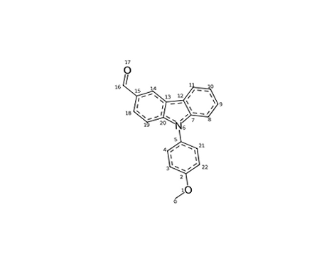 COc1ccc(-n2c3ccccc3c3cc(C=O)ccc32)cc1